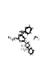 Cc1nc(Nc2ccccc2)cc(N2C=NC(N)(c3ccccc3)N2)n1.N